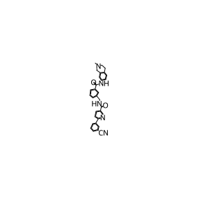 CN1CCc2ccc(NC(=O)c3cccc(CNC(=O)c4ccc(-c5cccc(C#N)c5)nc4)c3)cc2C1